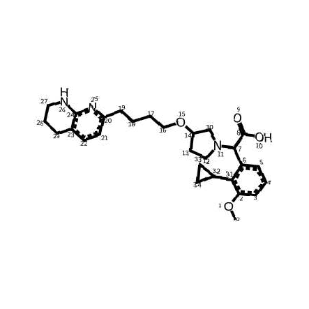 COc1cccc(C(C(=O)O)N2CCC(OCCCCc3ccc4c(n3)NCCC4)C2)c1C1CC1